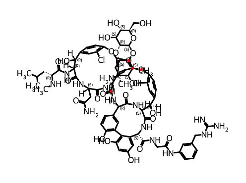 CN[C@H](CC(C)C)C(=O)N[C@H]1C(=O)N[C@@H](CC(N)=O)C(=O)N[C@H]2C(=O)N[C@H]3C(=O)N[C@H](C(=O)N[C@H](C(=O)NCC(=O)Nc4cccc(CNC(=N)N)c4)c4cc(O)cc(O)c4-c4cc3ccc4O)[C@H](O)c3ccc(c(Cl)c3)Oc3cc2cc(c3O[C@@H]2O[C@H](CO)[C@@H](O)[C@H](O)[C@H]2O[C@H]2C[C@](C)(N)[C@H](O)[C@H](C)O2)Oc2ccc(cc2Cl)[C@H]1O